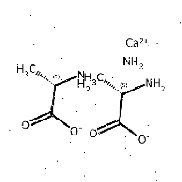 C[C@H](N)C(=O)[O-].C[C@H](N)C(=O)[O-].N.[Ca+2]